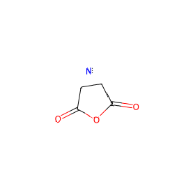 O=C1CCC(=O)O1.[N]